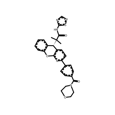 CC(C)(C(=O)Nc1ncns1)[C@H]1c2ccccc2Oc2nc(-c3ccc(C(=O)N4CCOCC4)cc3)ccc21